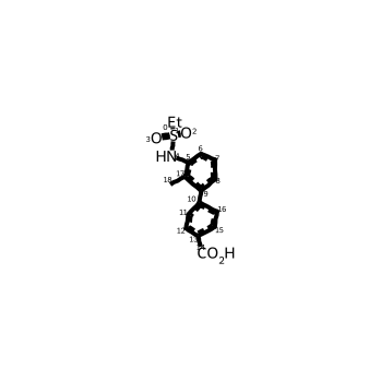 CCS(=O)(=O)Nc1cccc(-c2ccc(C(=O)O)cc2)c1C